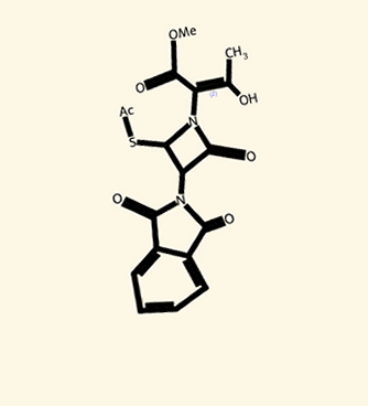 COC(=O)/C(=C(\C)O)N1C(=O)C(N2C(=O)c3ccccc3C2=O)C1SC(C)=O